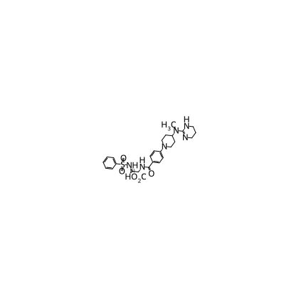 CN(C1=NCCCN1)C1CCN(c2ccc(C(=O)NC[C@H](NS(=O)(=O)c3ccccc3)C(=O)O)cc2)CC1